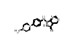 CN1CCN(c2ccc(Nn3[nH]c(=O)c4cncnc43)cc2)CC1